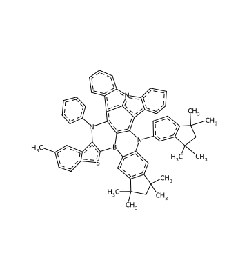 Cc1ccc2sc3c(c2c1)N(c1ccccc1)c1c2c(c4c5ccccc5n5c6ccccc6c1c45)N(c1ccc4c(c1)C(C)(C)CC4(C)C)c1cc4c(cc1B32)C(C)(C)CC4(C)C